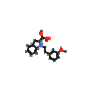 COc1cccc(CCn2c(C(=O)O)cc3ccccc32)c1